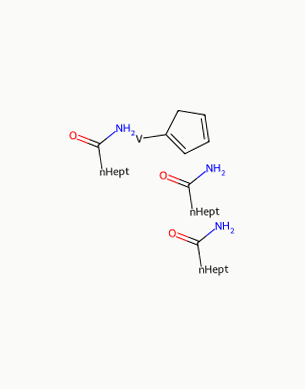 CCCCCCCC(N)=O.CCCCCCCC(N)=O.CCCCCCCC(N)=O.[V][C]1=CC=CC1